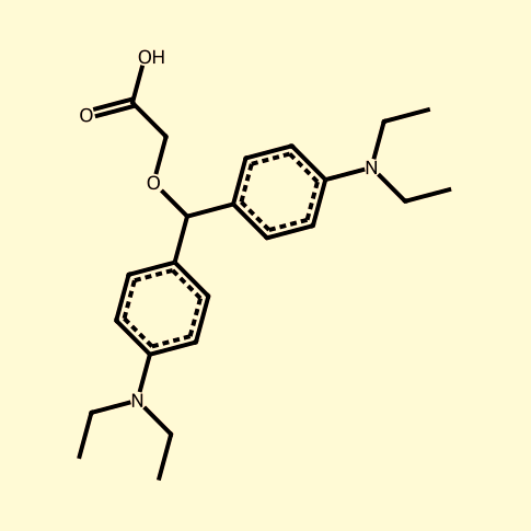 CCN(CC)c1ccc(C(OCC(=O)O)c2ccc(N(CC)CC)cc2)cc1